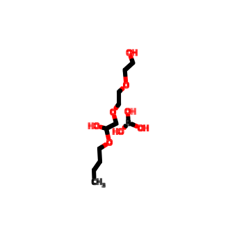 CCCCOC(O)COCCOCCO.OB(O)O